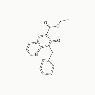 CCOC(=O)c1cc2cccnc2n(Cc2ccccc2)c1=O